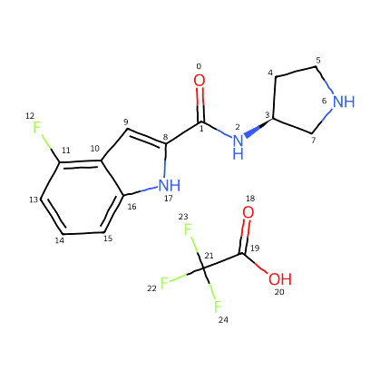 O=C(N[C@H]1CCNC1)c1cc2c(F)cccc2[nH]1.O=C(O)C(F)(F)F